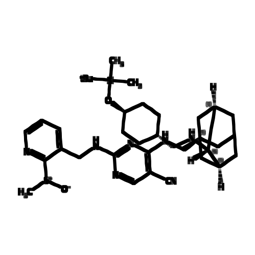 C[S+]([O-])c1ncccc1CNc1ncc(C#N)c(NC[C@]23CC4C[C@H](C2)[C@@H](NC[C@H]2CC[C@H](O[Si](C)(C)C(C)(C)C)CC2)[C@@H](C4)C3)n1